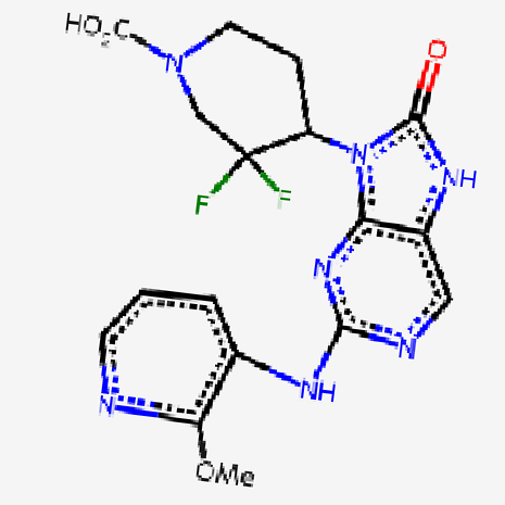 COc1ncccc1Nc1ncc2[nH]c(=O)n(C3CCN(C(=O)O)CC3(F)F)c2n1